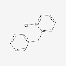 Cl[n+]1ccccc1Cc1ccccc1